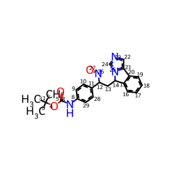 CC(C)(C)OC(=O)Nc1ccc(C(CC2c3ccccc3-c3cncn32)N=O)cc1